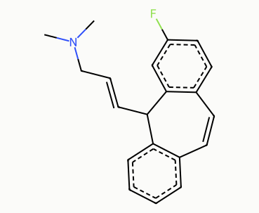 CN(C)CC=CC1c2ccccc2C=Cc2ccc(F)cc21